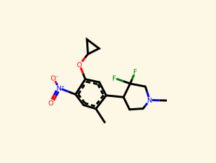 Cc1cc([N+](=O)[O-])c(OC2CC2)cc1C1CCN(C)CC1(F)F